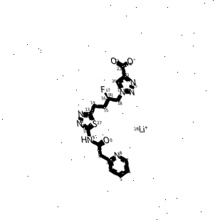 O=C(Cc1ccccn1)Nc1nnc(CC[C@@H](F)Cn2cc(C(=O)[O-])nn2)s1.[Li+]